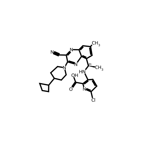 Cc1cc([C@@H](C)Nc2ccc(Cl)nc2C(=O)O)c2nc(N3CCC(C4CCC4)CC3)c(C#N)nc2c1